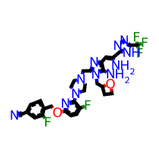 N#Cc1ccc(COc2ccc(F)c(N3CCN(Cc4nc(/C=C(\N)c5nnc(C(F)(F)F)[nH]5)c(N)n4CC4CCO4)CC3)n2)c(F)c1